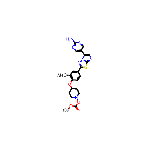 COc1cc(-c2nn3c(-c4cnc(N)nc4)cnc3s2)ccc1OC1CCN(OC(=O)OC(C)(C)C)CC1